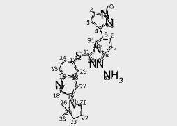 Cn1ccc(-c2ccc3nnc(Sc4ccc5ncc(N6CCCC6(C)C)cc5c4)n3c2)n1.N